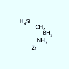 B.C.N.[SiH4].[Zr]